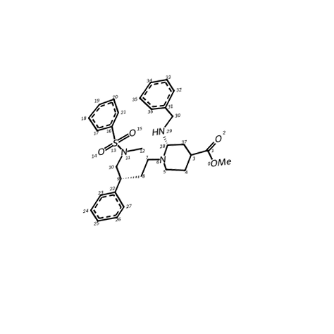 COC(=O)C1CCN(CC[C@@H](CN(C)S(=O)(=O)c2ccccc2)c2ccccc2)[C@H](NCc2ccccc2)C1